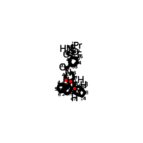 Cc1nc2ccccc2n1[C@H]1C[C@H]2CC[C@@H](C1)N2CCC1(c2ccccc2)CCN(C(=O)c2ccc(F)c(S(=O)(=O)NC(C)C)c2)CC1